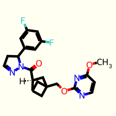 COc1ccnc(OCC23CC(C2)[C@@H](C(=O)N2N=CCC2c2cc(F)cc(F)c2)C3)n1